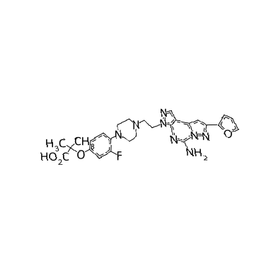 CC(C)(Oc1ccc(N2CCN(CCn3ncc4c3nc(N)n3nc(-c5ccco5)cc43)CC2)c(F)c1)C(=O)O